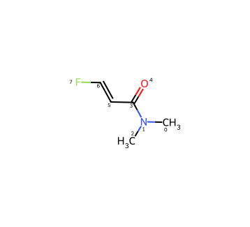 CN(C)C(=O)/C=C/F